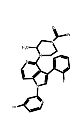 CC(C)C(=O)N1CCN(c2nccc3c2c(-c2ccccc2F)cn3-c2cc(C#N)ccn2)[C@@H](C)C1